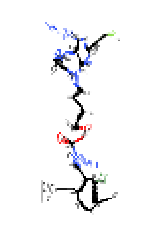 Cc1ccc(C(F)(F)F)c(CNC(=O)OCCCCn2cnc3c(N)nc(F)nc32)c1Cl